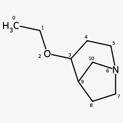 CCOC1CCN2CCC1C2